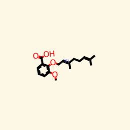 COc1cccc(C(=O)O)c1OC/C=C(\C)CCC=C(C)C